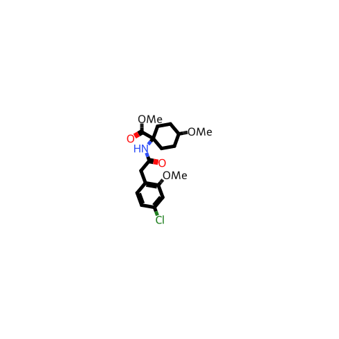 COC(=O)C1(NC(=O)Cc2ccc(Cl)cc2OC)CCC(OC)CC1